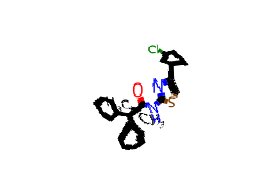 CC(C)(C(=O)Nc1nc(-c2cccc(Cl)c2)cs1)C(c1ccccc1)c1ccccc1